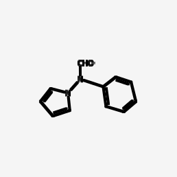 O=[C]N(c1ccccc1)n1cccc1